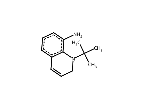 CC(C)(C)N1CC=Cc2cccc(N)c21